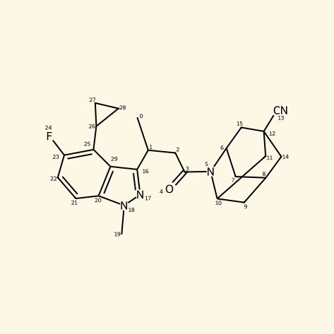 CC(CC(=O)N1C2CC3CC1CC(C#N)(C3)C2)c1nn(C)c2ccc(F)c(C3CC3)c12